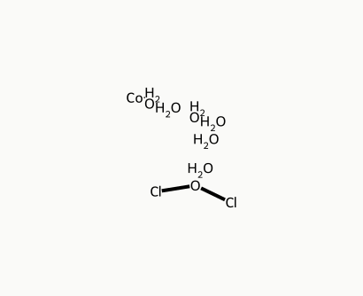 ClOCl.O.O.O.O.O.O.[Co]